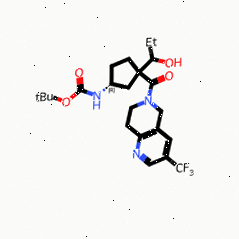 CCC(O)C1(C(=O)N2CCc3ncc(C(F)(F)F)cc3C2)CC[C@@H](NC(=O)OC(C)(C)C)C1